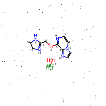 Cl.Cl.O.c1cn2ccnc2c(OCC2=NCCN2)n1